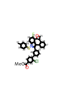 COC(=O)c1ccc(-c2cccc(-c3c(-c4ccccc4C4COC4)c4cc(F)ccc4n3Sc3ccc(C)cc3)c2)c(Cl)c1